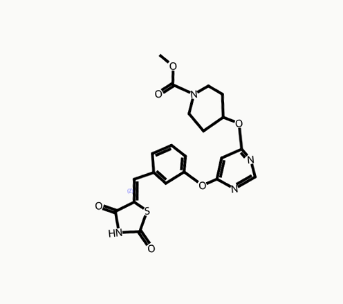 COC(=O)N1CCC(Oc2cc(Oc3cccc(/C=C4\SC(=O)NC4=O)c3)ncn2)CC1